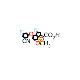 CS(=O)(=O)c1ccc(Oc2cc(F)cc(C#N)c2)c2c1[C@H](CC(=O)O)C[C@@H]2F